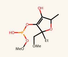 CCC1(COC)OC(C)C(O)=C1OP(O)OOC